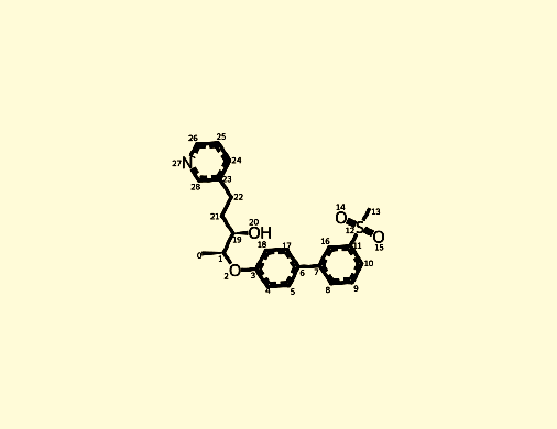 C[C@H](Oc1ccc(-c2cccc(S(C)(=O)=O)c2)cc1)[C@H](O)CCc1cccnc1